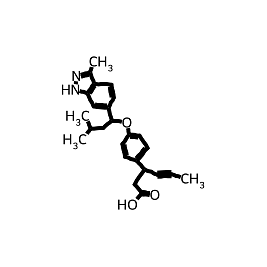 CC#CC(CC(=O)O)c1ccc(OC(CC(C)C)c2ccc3c(C)n[nH]c3c2)cc1